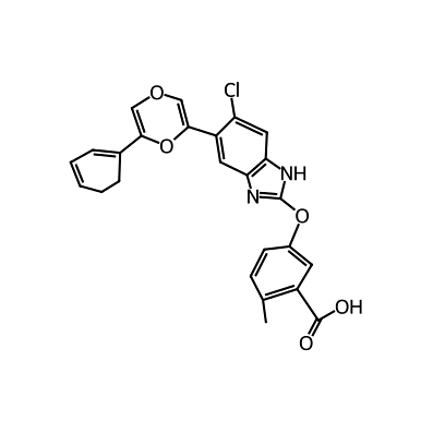 Cc1ccc(Oc2nc3cc(C4=COC=C(C5=CC=CCC5)O4)c(Cl)cc3[nH]2)cc1C(=O)O